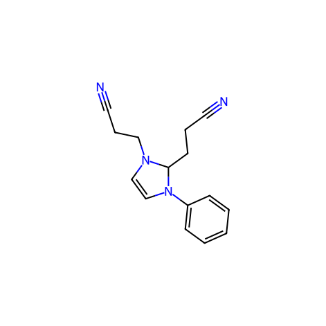 N#CCCC1N(CCC#N)C=CN1c1ccccc1